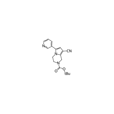 CC(C)(C)OC(=O)N1CCn2c(-c3cccnc3)cc(C#N)c2C1